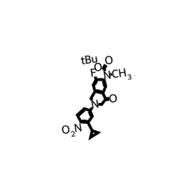 CN(C(=O)OC(C)(C)C)c1cc2c(cc1F)CN(c1ccc([N+](=O)[O-])c(C3CC3)c1)CC2=O